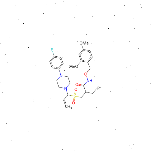 C=CC(N1CCN(c2ccc(F)cc2)CC1)S(=O)(=O)CC(CC(C)C)C(=O)NOCc1ccc(OC)cc1OC